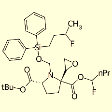 CCCC(F)OC(=O)[C@]1(C2CO2)CC[C@H](C(=O)OC(C)(C)C)N1CO[Si](CCC(C)F)(c1ccccc1)c1ccccc1